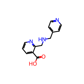 O=C(O)c1cccnc1CNCc1ccncc1